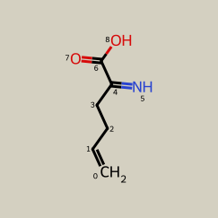 C=CCCC(=N)C(=O)O